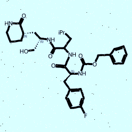 CC(C)CC(NC(=O)[C@H](Cc1ccc(F)cc1)NC(=O)OCc1ccccc1)C(=O)N[C@H](CO)C[C@@H]1CCCNC1=O